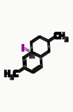 CC1=C[C@@]2(I)CCC(C)CC2C=C1